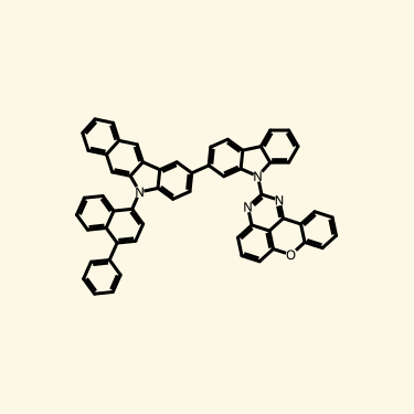 c1ccc(-c2ccc(-n3c4ccc(-c5ccc6c7ccccc7n(-c7nc8c9c(cccc9n7)Oc7ccccc7-8)c6c5)cc4c4cc5ccccc5cc43)c3ccccc23)cc1